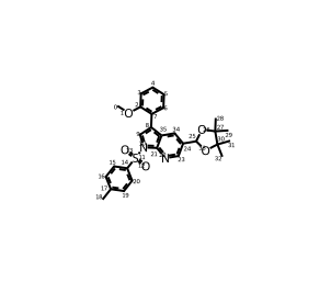 COc1ccccc1-c1cn(S(=O)(=O)c2ccc(C)cc2)c2ncc(C3OC(C)(C)C(C)(C)O3)cc12